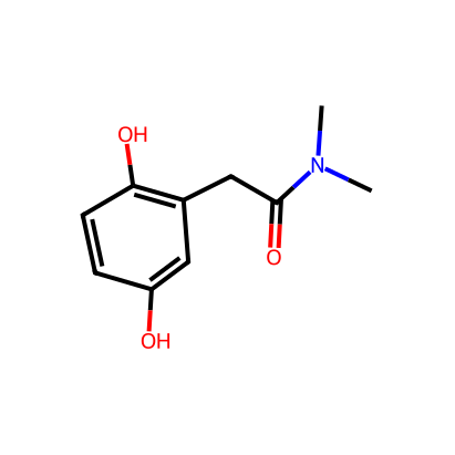 CN(C)C(=O)Cc1cc(O)ccc1O